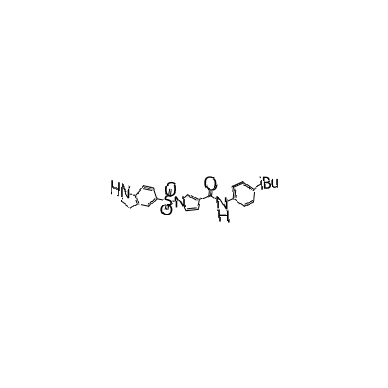 CCC(C)c1ccc(NC(=O)c2ccn(S(=O)(=O)c3ccc4c(c3)CCN4)c2)cc1